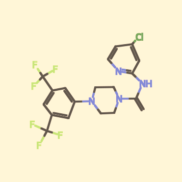 C=C(Nc1cc(Cl)ccn1)N1CCN(c2cc(C(F)(F)F)cc(C(F)(F)F)c2)CC1